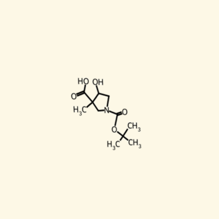 CC(C)(C)OC(=O)N1CC(O)C(C)(C(=O)O)C1